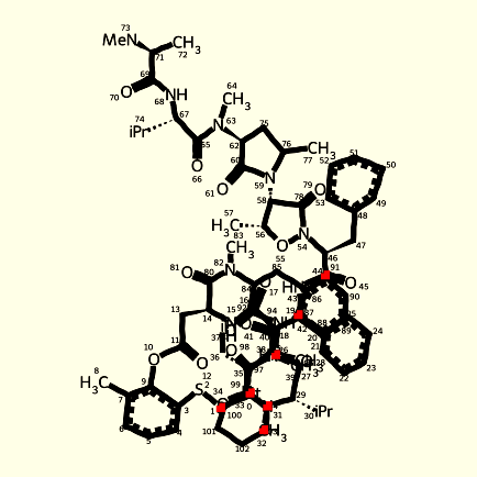 CCSSc1cccc(C)c1OC(=O)C[C@H](NC(=O)[C@H](Cc1ccccc1)NC(=O)[C@H](C(C)C)N(C)C(=O)[C@H](CC(C)C)N(C)C(=O)CNC(=O)[C@H](Cc1ccccc1)N1O[C@H](C)[C@H](N2C(=O)[C@@H](N(C)C(=O)[C@@H](NC(=O)[C@H](C)NC)C(C)C)CC2C)C1=O)C(=O)N(C)C(Cc1ccccc1)C(=O)N[C@@H](C)C(=O)N1CCCCC1